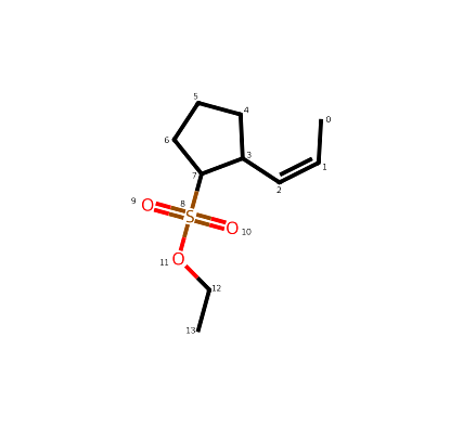 C/C=C\C1CCCC1S(=O)(=O)OCC